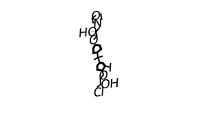 CC(C)(c1ccc(OC[C@H](O)CN2CCOCC2)cc1)c1ccc(OC[C@@H](O)CCl)c(I)c1